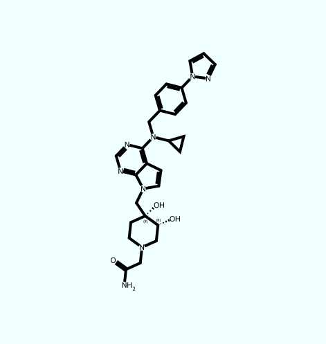 NC(=O)CN1CC[C@@](O)(Cn2ccc3c(N(Cc4ccc(-n5cccn5)cc4)C4CC4)ncnc32)[C@H](O)C1